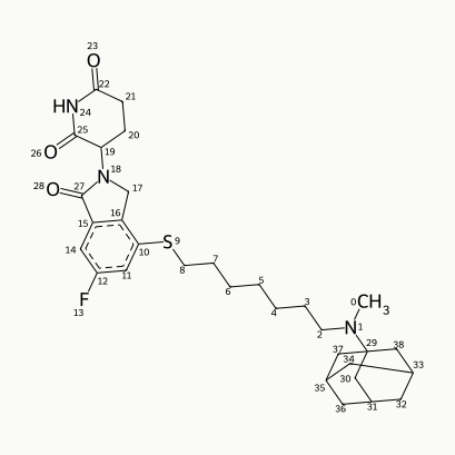 CN(CCCCCCCSc1cc(F)cc2c1CN(C1CCC(=O)NC1=O)C2=O)C12CC3CC(CC(C3)C1)C2